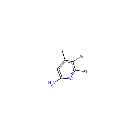 CCc1nc(N)cc(C)c1Br